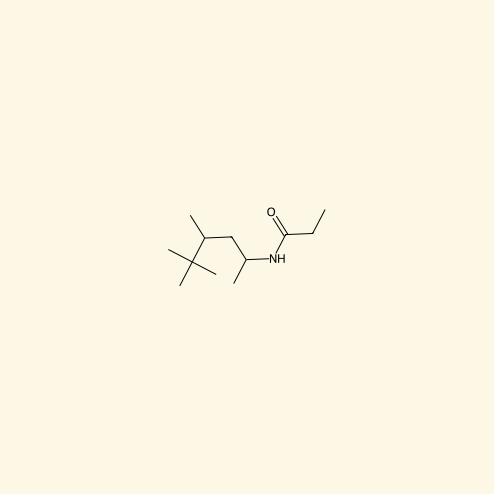 CCC(=O)NC(C)CC(C)C(C)(C)C